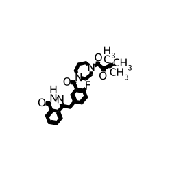 CC(C)(C)C(=O)C(=O)N1CCCN(C(=O)c2cc(Cc3n[nH]c(=O)c4ccccc34)ccc2F)CC1